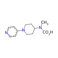 CN(C(=O)O)C1CCN(c2ccncc2)CC1